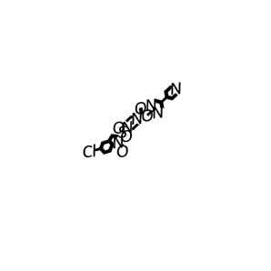 O=Cn1c(S(=O)(=O)N2CCN(C(=O)Oc3ncc(-c4ccncc4)cn3)CC2)cc2cc(Cl)ccc21